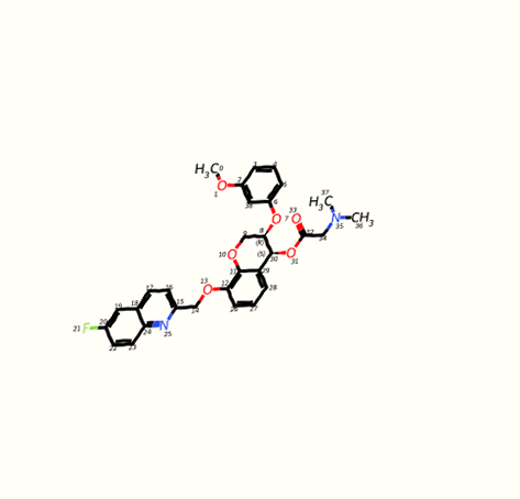 COc1cccc(O[C@@H]2COc3c(OCc4ccc5cc(F)ccc5n4)cccc3[C@@H]2OC(=O)CN(C)C)c1